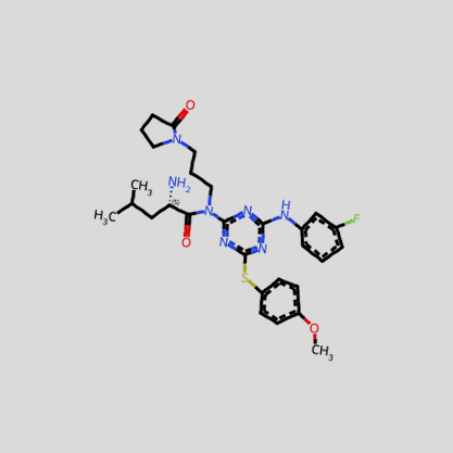 COc1ccc(Sc2nc(Nc3cccc(F)c3)nc(N(CCCN3CCCC3=O)C(=O)[C@@H](N)CC(C)C)n2)cc1